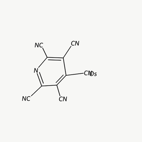 N#Cc1nc(C#N)c(C#N)c(C#N)c1C#N.[Os]